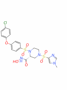 Cn1cnc(S(=O)(=O)N2CCN(S(=O)(=O)c3ccc(Oc4ccc(Cl)cc4)cc3)[C@@H](C(=O)NO)C2)c1